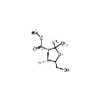 CC[C@H]1C(CO)OC(C)(C)N1C(=O)OC(C)(C)C